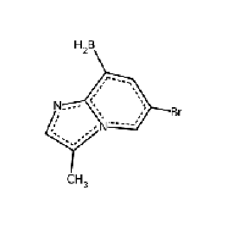 Bc1cc(Br)cn2c(C)cnc12